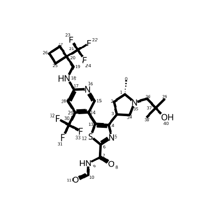 C[C@H]1CC(c2nc(C(=O)NC=O)sc2-c2cnc(NCC3(C(F)(F)F)CCC3)cc2C(F)(F)F)CN1CC(C)(C)O